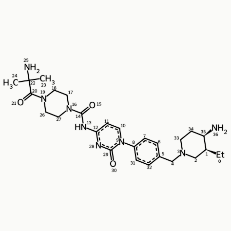 CC[C@H]1CN(Cc2ccc(-n3ccc(NC(=O)N4CCN(C(=O)C(C)(C)N)CC4)nc3=O)cc2)CC[C@H]1N